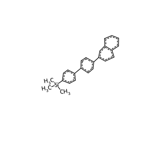 C[Si](C)(C)c1ccc(-c2ccc(-c3ccc4ccccc4c3)cc2)cc1